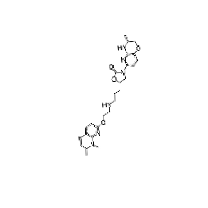 C=C1COc2ccc(N3CC(CCCNCCOc4ccc5c(n4)N(C)C(=C)C=N5)OC3=O)nc2N1